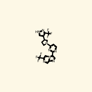 FC(F)(F)c1cn2c(-c3nccc(N4CCC(c5c[nH]nc5C(F)(F)F)C4)n3)cnc2cn1